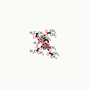 C=C(C)C(=O)OC[Si](C)(C)OC1(O[Si](C)(C)COC(=O)C(=C)C)CCC[Si](O[Si](C)(C)COC(=O)C(=C)C)(O[Si](C)(C)COC(=O)C(=C)C)O1